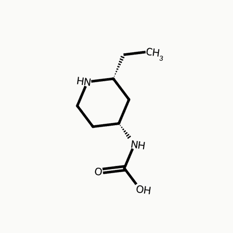 CC[C@@H]1C[C@H](NC(=O)O)CCN1